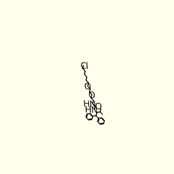 CC(C)[C@@H](NC(=O)NCCOCCOCCCCCCCl)C(c1ccccc1)c1ccccc1